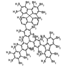 Bc1c(B)c(B)c(-c2c(B)c(B)c(N(c3c(B)c(B)c(-c4cccc5c4-c4ccccc4C54c5c(B)c(B)c(B)c(B)c5-c5c(B)c(B)c(B)c(B)c54)c(B)c3B)c3c(B)c(B)c(-n4c5c(B)c(B)c(B)c(B)c5c5c(B)c(B)c(B)c(B)c54)c(B)c3B)c(B)c2B)c(B)c1B